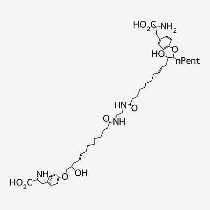 CCCCCC(Oc1ccc(CC(N)C(=O)O)cc1)C(O)CC=CCCCCCCCC(=O)NCCNC(=O)CCCCCCCC=CCC(O)COc1ccc(CC(N)C(=O)O)cc1